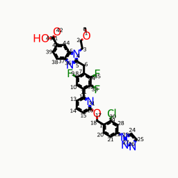 COCCn1c(Cc2c(F)cc(-c3cccc(OCc4ccc(-n5ccnn5)cc4Cl)n3)c(F)c2F)nc2ccc(C(=O)O)cc21